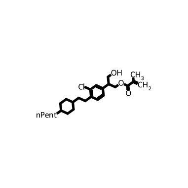 C=C(C)C(=O)OCC(CO)c1ccc(CCC2CCC(CCCCC)CC2)c(Cl)c1